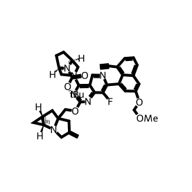 C#Cc1cccc2cc(OCOC)cc(-c3ncc4c(N5C[C@H]6CC[C@@H](C5)N6C(=O)OC(C)(C)C)nc(OCC56CC(=C)CN5[C@@H]5C[C@@H]5C6)nc4c3F)c12